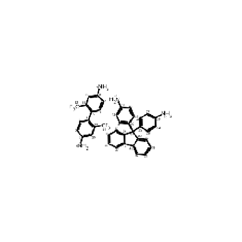 Nc1ccc(-c2ccc(N)cc2C(F)(F)F)c(C(F)(F)F)c1.Nc1ccc(C2(c3ccc(N)cc3)c3ccccc3-c3ccccc32)cc1